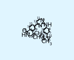 C[S+]([O-])C1(c2ccc(Nc3nccc(-c4ccc5c(c4)C(C)(C)CNC5=O)n3)cc2)CC1